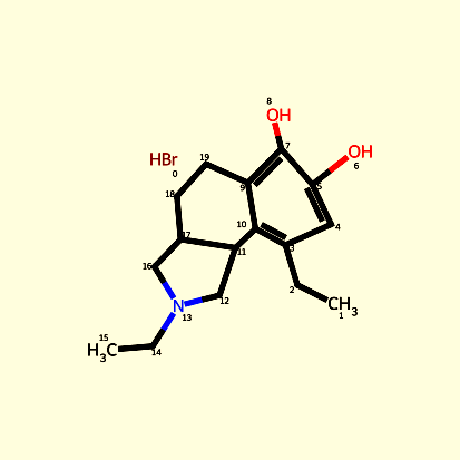 Br.CCc1cc(O)c(O)c2c1C1CN(CC)CC1CC2